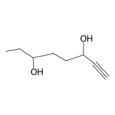 C#CC(O)CCC(O)CC